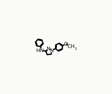 COc1ccc(N2CCC(Nc3ccccc3)=N2)cc1